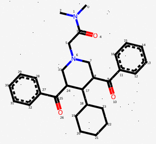 CN(C)C(=O)CN1CC(C(=O)c2ccccc2)C(C2CCCCC2)C(C(=O)c2ccccc2)C1